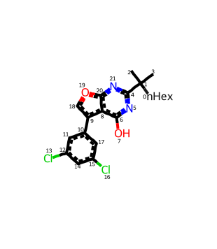 CCCCCCC(C)(C)c1nc(O)c2c(-c3cc(Cl)cc(Cl)c3)coc2n1